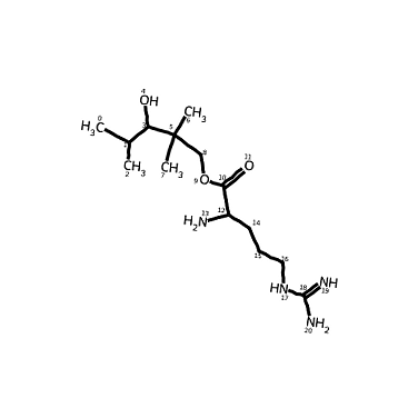 CC(C)C(O)C(C)(C)COC(=O)C(N)CCCNC(=N)N